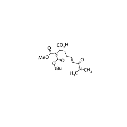 COC(=O)N(C(=O)OC(C)(C)C)[C@@H](CC/C=C/C(=O)N(C)C)C(=O)O